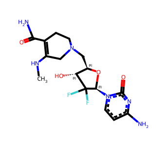 CNC1=C(C(N)=O)CCN(C[C@H]2O[C@@H](n3ccc(N)nc3=O)C(F)(F)[C@@H]2O)C1